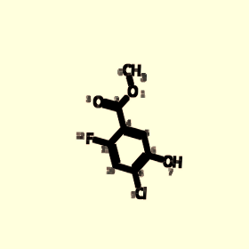 COC(=O)c1cc(O)c(Cl)cc1F